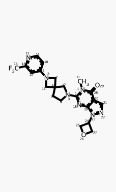 Cn1c(N2CCC3(CN(c4ccnc(C(F)(F)F)c4)C3)C2)nc2c(cnn2C2COC2)c1=O